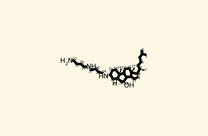 CC(C)CCC[C@@H](C)[C@H]1CCC2C3C(CC[C@@]21C)[C@@]1(C)CC[C@@H](NCCCCNCCCCN)C[C@H]1C[C@H]3O